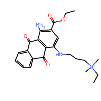 CCOC(=O)c1cc(NCCC[N+](C)(C)CC)c2c(c1N)C(=O)c1ccccc1C2=O